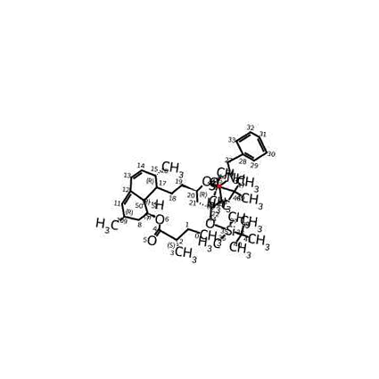 CC[C@H](C)C(=O)O[C@H]1C[C@@H](C)C=C2C=C[C@H](C)C(CC[C@H](C[C@H](CC(=O)NCc3ccccc3)O[Si](C)(C)C(C)(C)C)O[Si](C)(C)C(C)(C)C)[C@H]21